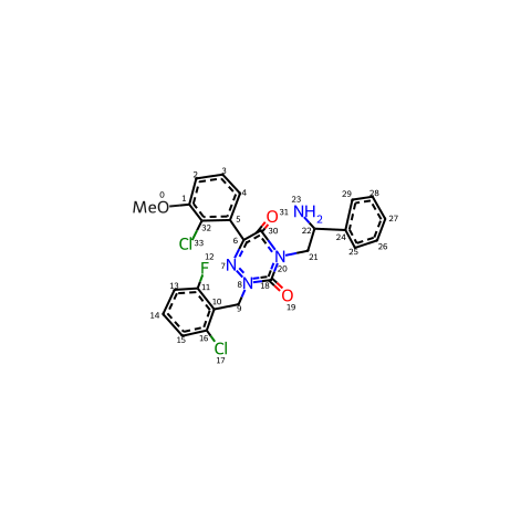 COc1cccc(-c2nn(Cc3c(F)cccc3Cl)c(=O)n(CC(N)c3ccccc3)c2=O)c1Cl